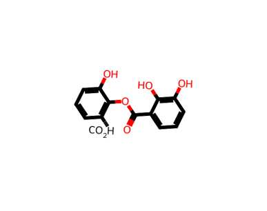 O=C(Oc1c(O)cccc1C(=O)O)c1cccc(O)c1O